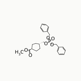 COC(=O)[C@H]1CC[C@H](COP(=O)(OCc2ccccc2)OCc2ccccc2)CC1